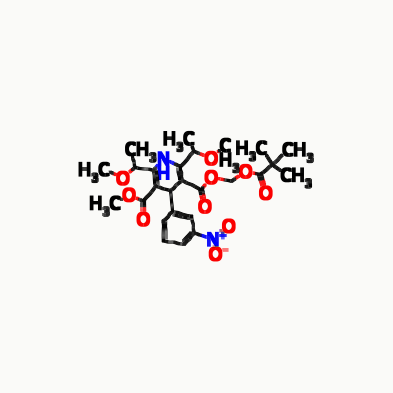 COC(=O)C1=C(C(C)OC)NC(C(C)OC)=C(C(=O)OCOC(=O)C(C)(C)C)C1c1cccc([N+](=O)[O-])c1